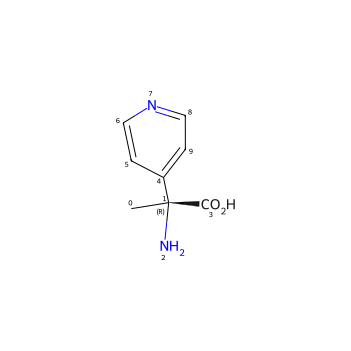 C[C@](N)(C(=O)O)c1ccncc1